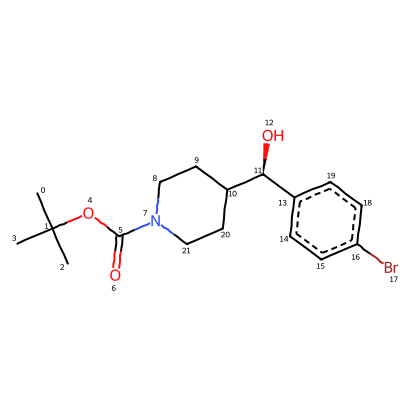 CC(C)(C)OC(=O)N1CCC([C@@H](O)c2ccc(Br)cc2)CC1